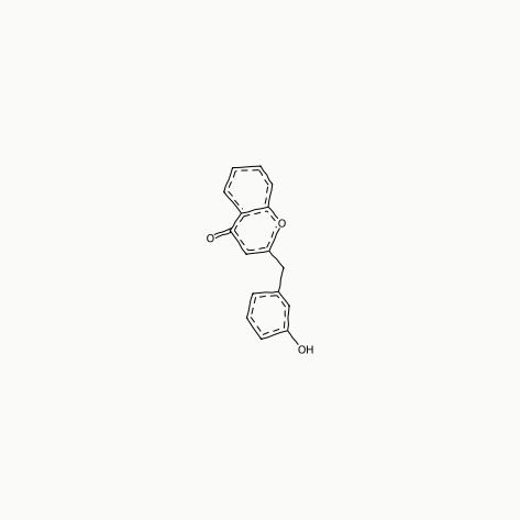 O=c1cc(Cc2cccc(O)c2)oc2ccccc12